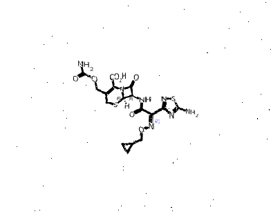 NC(=O)OCC1=C(C(=O)O)N2C(=O)[C@@H](NC(=O)/C(=N\OCC3CC3)c3nsc(N)n3)[C@H]2SC1